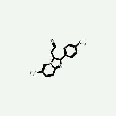 CC1=CN2C(=NC(c3ccc(C)cc3)C2CC=O)C=C1